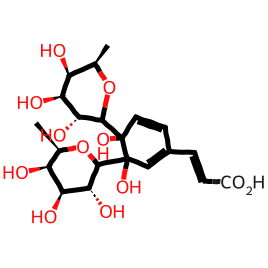 C[C@H]1OC(C2(O)C=CC(C=CC(=O)O)=CC2(O)C2O[C@H](C)[C@H](O)[C@H](O)[C@H]2O)[C@H](O)[C@@H](O)[C@H]1O